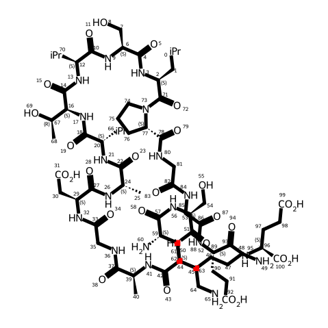 CC(C)C[C@H](NC(=O)[C@H](CO)NC(=O)[C@@H](NC(=O)[C@@H](NC(=O)[C@@H](NC(=O)[C@H](C)NC(=O)[C@H](CC(=O)O)NC(=O)CNC(=O)[C@H](C)NC(=O)[C@H](CCCCN)NC(=O)[C@H](CO)NC(=O)[C@@H](N)CCCCN)C(C)C)[C@@H](C)O)C(C)C)C(=O)N1CCC[C@H]1C(=O)NCC(=O)NCC(=O)N[C@@H](CCC(=O)O)C(=O)N[C@@H](CCC(=O)O)C(=O)O